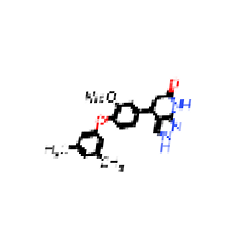 COc1cc(C2CC(=O)Nc3n[nH]cc32)ccc1Oc1cc(C)cc(C)c1